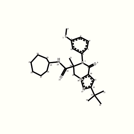 CSc1cccc(N2C(=O)c3cc(C(C)(C)C)nn3CC2(C)C(=O)NC2CCCCCC2)c1